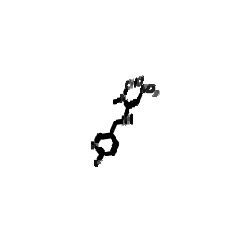 CN(C=O)C(=C[N+](=O)[O-])NCc1ccc(F)nc1